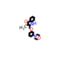 Cc1c(COc2cccc(N3CCOCC3)c2)[nH]c2ccccc2c1=O